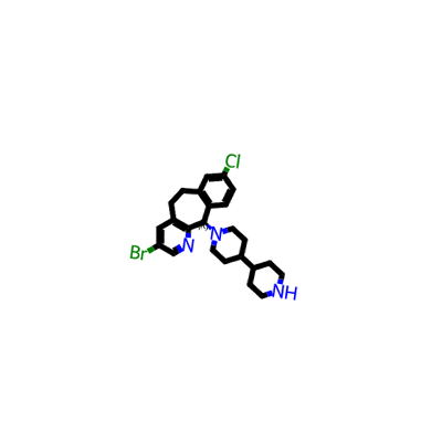 Clc1ccc2c(c1)CCc1cc(Br)cnc1[C@@H]2N1CCC(C2CCNCC2)CC1